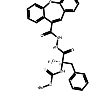 CC(C)(C)OC(=O)N[C@](C)(Cc1ccccc1)C(=O)NNC(=O)C1=Cc2ccccc2Oc2ccccc21